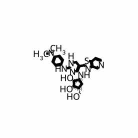 CN(C)c1ccc(NC2=NC(N[C@@H]3C[C@H](CO)[C@@H](O)[C@H]3O)=C(c3nc4cnccc4s3)CN2)cc1